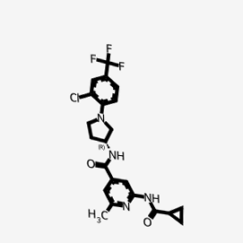 Cc1cc(C(=O)N[C@@H]2CCN(c3ccc(C(F)(F)F)cc3Cl)C2)cc(NC(=O)C2CC2)n1